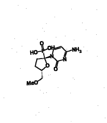 COC[C@@H]1CC[C@](n2ccc(N)nc2=O)(P(=O)(O)O)O1